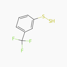 FC(F)(F)c1cccc(SS)c1